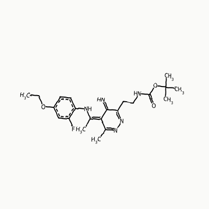 CCOc1ccc(N/C(C)=C2\C(=N)C(CCNC(=O)OC(C)(C)C)=NN=C2C)c(F)c1